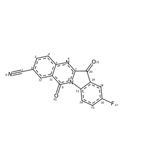 N#Cc1ccc2nc3n(c(=O)c2c1)-c1ccc(F)cc1C3=O